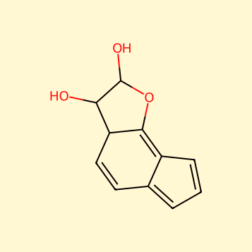 OC1OC2=C3C=CC=C3C=CC2C1O